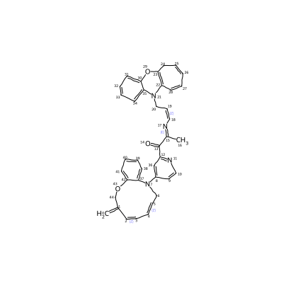 C=C1/C=C\C=C/CN(c2ccnc(C(=O)/C(C)=N/C=C\CN3C4=C(CC=CC=C4)Oc4ccccc43)c2)c2ccccc2OC1